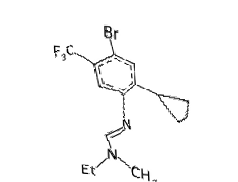 CCN(C)C=Nc1cc(C(F)(F)F)c(Br)cc1C1CC1